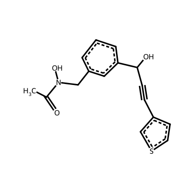 CC(=O)N(O)Cc1cccc(C(O)C#Cc2ccsc2)c1